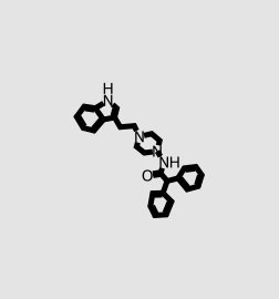 O=C(NN1CCN(CCc2c[nH]c3ccccc23)CC1)C(c1ccccc1)c1ccccc1